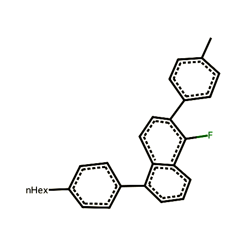 CCCCCCc1ccc(-c2cccc3c(F)c(-c4ccc(C)cc4)ccc23)cc1